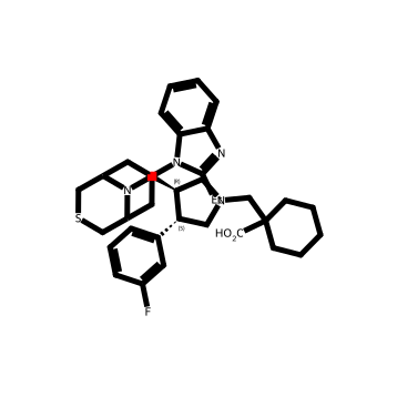 CCc1nc2ccccc2n1C1CC2CSCC(C1)N2C[C@H]1CN(CC2(C(=O)O)CCCCC2)C[C@@H]1c1cccc(F)c1